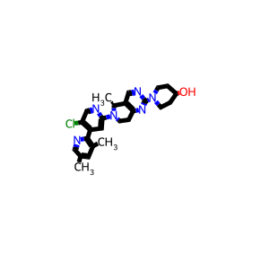 Cc1cnc(-c2cc(N3CCc4nc(N5CCC(O)CC5)ncc4[C@@H]3C)ncc2Cl)c(C)c1